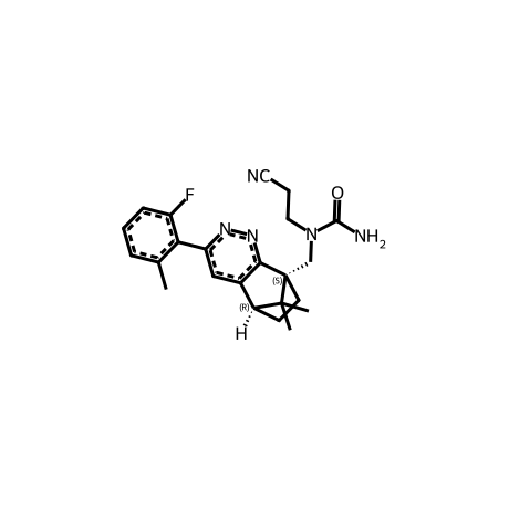 Cc1cccc(F)c1-c1cc2c(nn1)[C@@]1(CN(CCC#N)C(N)=O)CC[C@@H]2C1(C)C